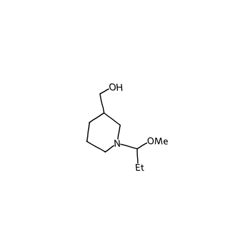 CCC(OC)N1CCCC(CO)C1